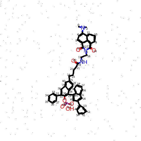 CN(C)c1ccc2c3c(cccc13)C(=O)N(CCNC(=O)CCCCc1ccc3c4c(c(-c5ccccc5)cc3c1)OP(=O)(O)Oc1c(-c3ccccc3)cc3ccccc3c1-4)C2=O